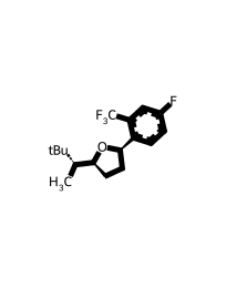 C[C@@H]([C@@H]1CC[C@H](c2ccc(F)cc2C(F)(F)F)O1)C(C)(C)C